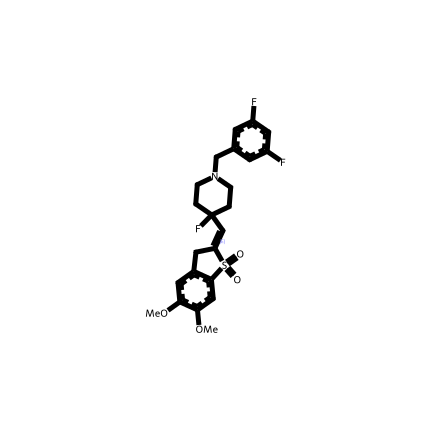 COc1cc2c(cc1OC)S(=O)(=O)/C(=C/C1(F)CCN(Cc3cc(F)cc(F)c3)CC1)C2